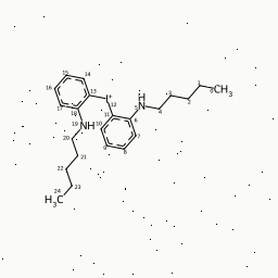 CCCCCNc1ccccc1[I+]c1ccccc1NCCCCC